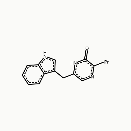 CC(C)c1ncc(Cc2c[nH]c3ccccc23)[nH]c1=O